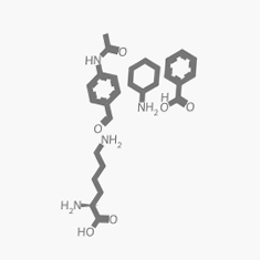 CC(=O)Nc1ccc(C=O)cc1.NC1CCCCC1.NCCCC[C@H](N)C(=O)O.O=C(O)c1ccccc1